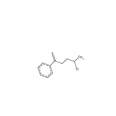 CC(Cl)CCC(=S)c1ccccc1